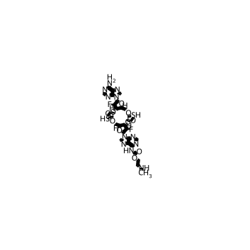 CNCCOC(=O)Nc1ncnc2c1ncn2[C@@H]1O[C@@H]2CO[P@@](=O)(S)O[C@H]3[C@@H](F)[C@H](n4cnc5c(N)ncnc54)O[C@@H]3COP(=O)(S)O[C@H]2[C@H]1F